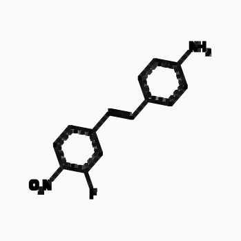 Nc1ccc(C=Cc2ccc([N+](=O)[O-])c(F)c2)cc1